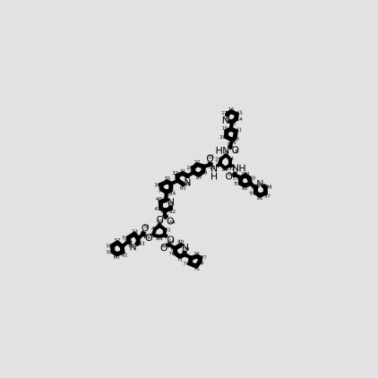 O=C(NC1CC(NC(=O)c2ccc(-c3ccccn3)cc2)CC(NC(=O)c2ccc(-c3ccc(-c4cccc(-c5ccc(C(=O)OC6CC(OC(=O)c7ccc(-c8ccccc8)nc7)CC(OC(=O)c7ccc(-c8ccccc8)nc7)C6)cn5)c4)cn3)cc2)C1)c1ccc(-c2ccccn2)cc1